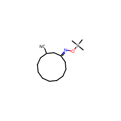 C[Si](C)(C)O/N=C1\CCCCCCCCCC(C#N)C1